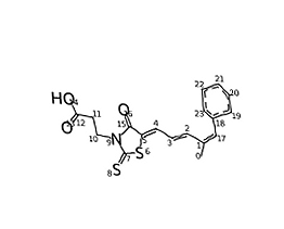 CC(C=CC=C1SC(=S)N(CCC(=O)O)C1=O)=Cc1ccccc1